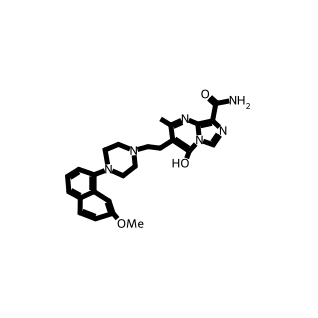 COc1ccc2cccc(N3CCN(CCc4c(C)nc5c(C(N)=O)ncn5c4O)CC3)c2c1